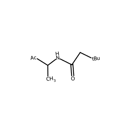 CC(=O)C(C)NC(=O)CC(C)(C)C